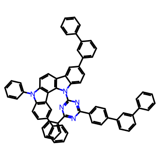 c1ccc(-c2cccc(-c3ccc(-c4nc(-c5ccccc5)nc(-n5c6ccc(-c7cccc(-c8ccccc8)c7)cc6c6ccc7c(c8cc(-c9ccccc9)ccc8n7-c7ccccc7)c65)n4)cc3)c2)cc1